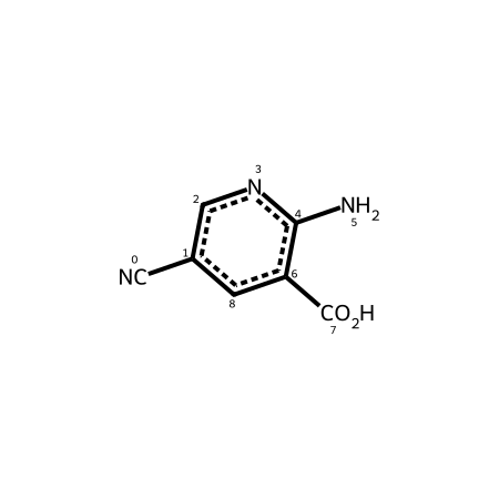 N#Cc1cnc(N)c(C(=O)O)c1